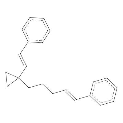 C(=Cc1ccccc1)CCCC1(C=Cc2ccccc2)CC1